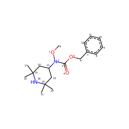 CON(C(=O)OCc1ccccc1)C1CC(C)(C)NC(C)(C)C1